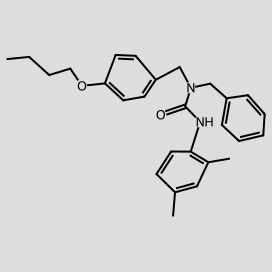 CCCCOc1ccc(CN(Cc2ccccc2)C(=O)Nc2ccc(C)cc2C)cc1